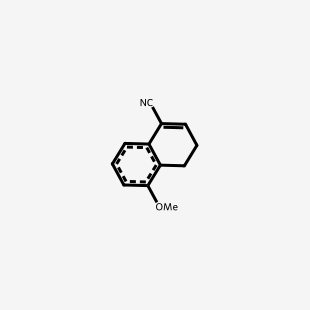 COc1cccc2c1CCC=C2C#N